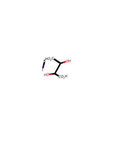 O=C(O)C(O)C(O)C(=O)O.[K][I]